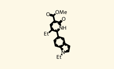 CCc1cc(C(=O)OC)c(=O)[nH]c1-c1ccc2c(ccn2CC)c1